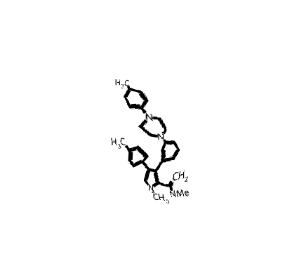 C=C(NC)c1c(-c2cccc(N3CCN(c4ccc(C)cc4)CC3)c2)c(-c2ccc(C)cc2)cn1C